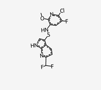 COc1nc(Cl)c(F)cc1NSc1c[nH]c2nc(C(F)F)ccc12